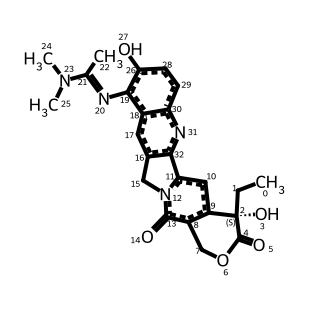 CC[C@@]1(O)C(=O)OCc2c1cc1n(c2=O)Cc2cc3c(N=C(C)N(C)C)c(O)ccc3nc2-1